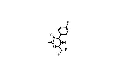 COC(=O)[C@H](NC(=O)C(F)F)c1ccc(F)cc1